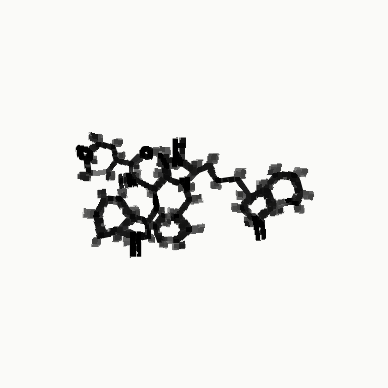 O=C(N[C@H](Cc1c[nH]c2ccccc12)C1=NNC(CCCc2c[nH]c3ccccc23)N1Cc1ccccc1)C1CCOCC1